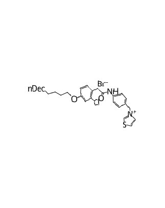 CCCCCCCCCCCCCCOc1ccc(CC(=O)Nc2ccc(C[n+]3ccsc3)cc2)c(Cl)c1.[Br-]